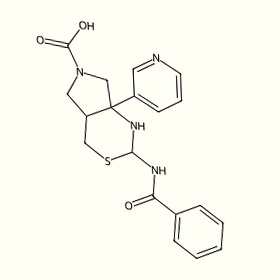 O=C(NC1NC2(c3cccnc3)CN(C(=O)O)CC2CS1)c1ccccc1